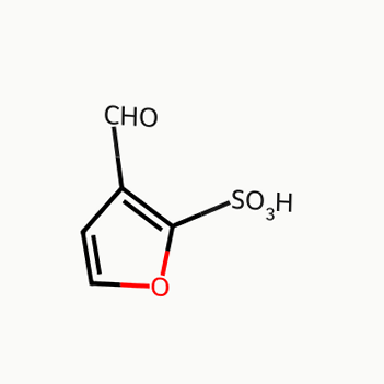 O=Cc1ccoc1S(=O)(=O)O